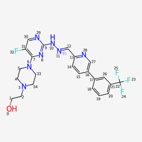 OCCN1CCN(c2nc(N/N=C/c3ccc(-c4cccc(C(F)(F)F)c4)cn3)ncc2F)CC1